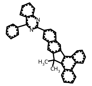 CC1(C)c2cc3cc(-c4nc(-c5ccccc5)c5ccccc5n4)ccc3cc2-c2c1c1ccccc1c1ccccc21